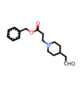 O=CCC1CCN(CCC(=O)OCc2ccccc2)CC1